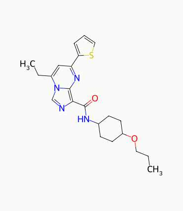 CCCOC1CCC(NC(=O)c2ncn3c(CC)cc(-c4cccs4)nc23)CC1